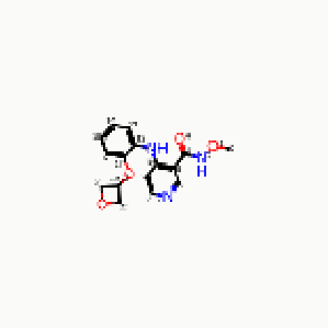 CONC(=O)c1cnccc1Nc1ccccc1OC1COC1